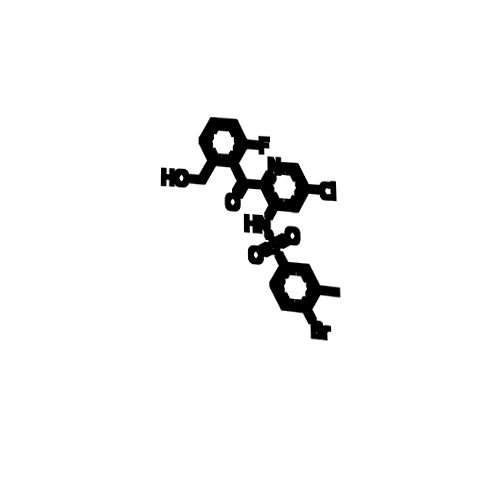 Cc1cc(S(=O)(=O)Nc2cc(Cl)cnc2C(=O)c2c(F)cccc2CO)ccc1Br